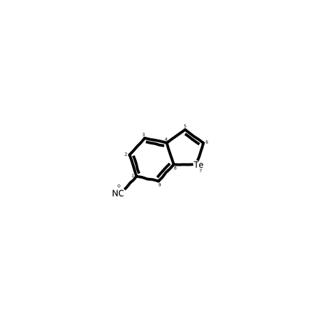 N#Cc1ccc2cc[te]c2c1